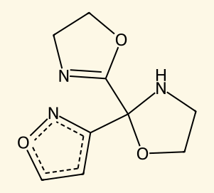 c1cc(C2(C3=NCCO3)NCCO2)no1